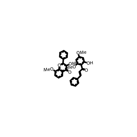 COc1c(-c2ccccc2)oc2c(OC)cccc2c1=O.COc1cc(O)c(C(=O)C=Cc2ccccc2)c(OC)c1